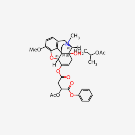 CC(=O)OC(C)C(=O)O.COc1ccc2c3c1O[C@H]1C(OC(=O)CC(OC(C)=O)C(=O)Oc4ccccc4)=CC[C@@]4(O)[C@@H](C2)N(C)CC[C@]314